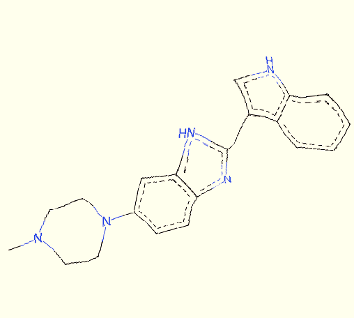 CN1CCN(c2ccc3nc(-c4c[nH]c5ccccc45)[nH]c3c2)CC1